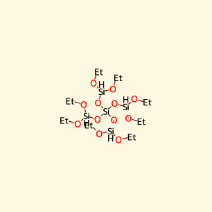 CCO[SiH](OCC)O[Si](O[SiH](OCC)OCC)(O[SiH](OCC)OCC)O[SiH](OCC)OCC